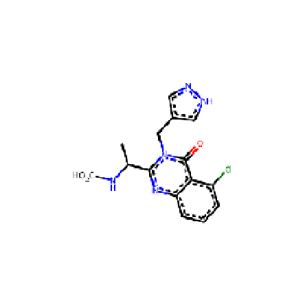 CC(NC(=O)O)c1nc2cccc(Cl)c2c(=O)n1Cc1cn[nH]c1